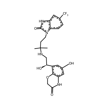 CC(C)(CCn1c(=O)[nH]c2cc(C(F)(F)F)ccc21)NC[C@H](O)c1cc(O)cc2c1OCC(=O)N2